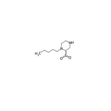 CCCCCN1CCNCC1=S(=O)=O